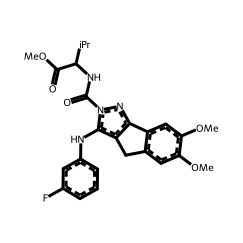 COC(=O)C(NC(=O)n1nc2c(c1Nc1cccc(F)c1)Cc1cc(OC)c(OC)cc1-2)C(C)C